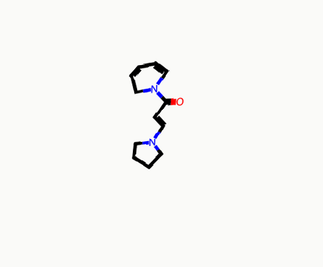 O=C(C=CN1CCCC1)N1C=CC=CC1